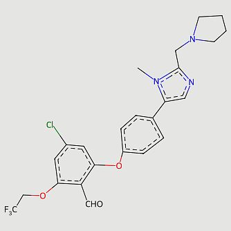 Cn1c(-c2ccc(Oc3cc(Cl)cc(OCC(F)(F)F)c3C=O)cc2)cnc1CN1CCCC1